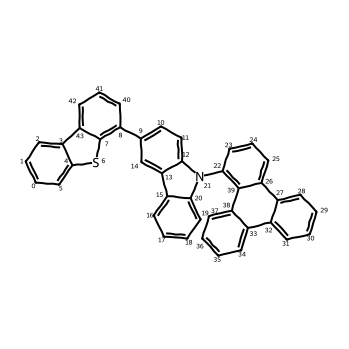 c1ccc2c(c1)sc1c(-c3ccc4c(c3)c3ccccc3n4-c3cccc4c5ccccc5c5ccccc5c34)cccc12